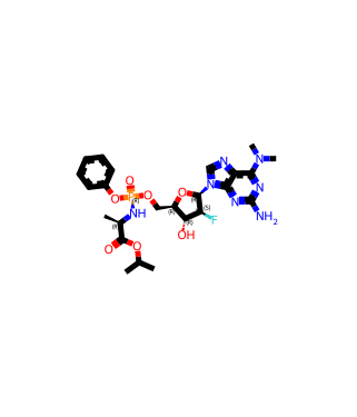 CC(C)OC(=O)[C@@H](C)N[P@@](=O)(OC[C@H]1O[C@@H](n2cnc3c(N(C)C)nc(N)nc32)[C@@H](F)[C@@H]1O)Oc1ccccc1